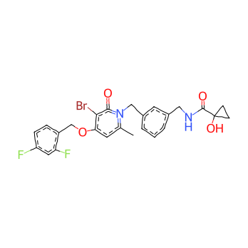 Cc1cc(OCc2ccc(F)cc2F)c(Br)c(=O)n1Cc1cccc(CNC(=O)C2(O)CC2)c1